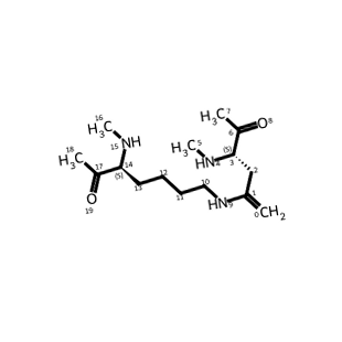 C=C(C[C@H](NC)C(C)=O)NCCCC[C@H](NC)C(C)=O